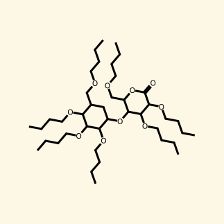 CCCCOCC1CC(OC2C(COCCCC)OC(=O)C(OCCCC)C2OCCCC)C(OCCCC)C(OCCCC)C1OCCCC